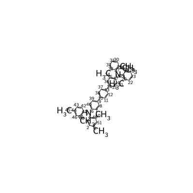 Cc1ccc(N(c2ccc(-c3ccc(-c4ccc(N(c5c(C)cccc5C)c5c(C)cccc5C)cc4)cc3)cc2)c2ccc(C)cc2C)c(C)c1